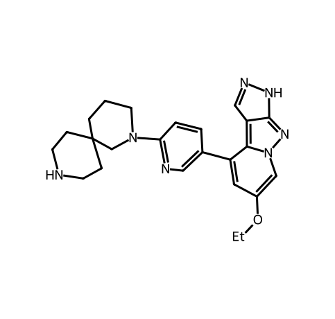 CCOc1cc(-c2ccc(N3CCCC4(CCNCC4)C3)nc2)c2c3cn[nH]c3nn2c1